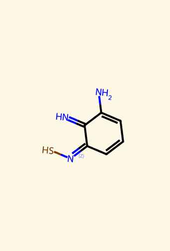 N=C1C(N)=CC=C/C1=N/S